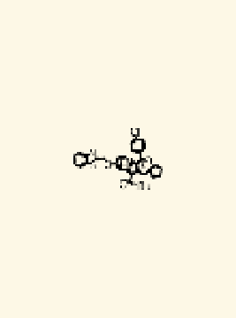 CC(C)(C)C(=O)c1c(CC2(C(=O)O)CCCC2)c(C(=O)c2ccc(Cl)cc2)n2ccc(OCc3nc4ccccc4s3)cc12